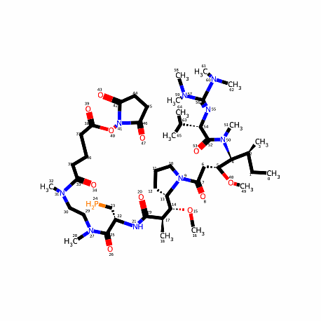 CC[C@H](C)[C@@H]([C@@H](CC(=O)N1CCC[C@H]1[C@H](OC)[C@@H](C)C(=O)N[C@@H](CP)C(=O)N(C)CCN(C)C(=O)CCCC(=O)ON1C(=O)CCC1=O)OC)N(C)C(=O)[C@@H](N=C(N(C)C)N(C)C)C(C)C